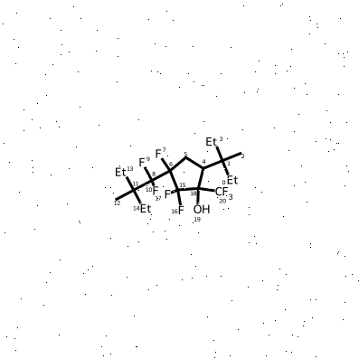 CCC(C)(CC)C1CC(F)(C(F)(F)C(C)(CC)CC)C(F)(F)C1(O)C(F)(F)F